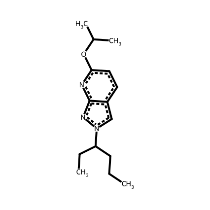 CCCC(CC)n1cc2ccc(OC(C)C)nc2n1